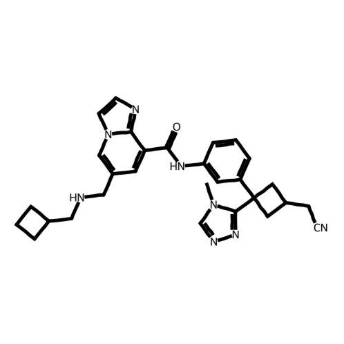 Cn1cnnc1C1(c2cccc(NC(=O)c3cc(CNCC4CCC4)cn4ccnc34)c2)CC(CC#N)C1